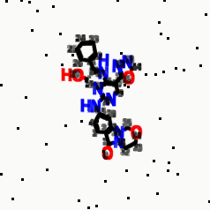 O=c1c2ccc(Nc3ncc(-c4nnco4)c(N[C@H](CO)c4ccccc4)n3)cc2n2n1CCOC2